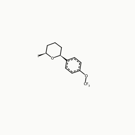 FC(F)(F)Oc1ccc([C@@H]2CCC[C@H](I)O2)cc1